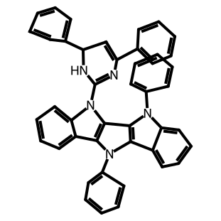 C1=C(c2ccccc2)N=C(n2c3ccccc3c3c2c2c(c4ccccc4n2-c2ccccc2)n3-c2ccccc2)NC1c1ccccc1